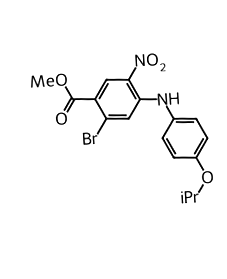 COC(=O)c1cc([N+](=O)[O-])c(Nc2ccc(OC(C)C)cc2)cc1Br